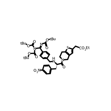 CCOC(=O)Cc1cc2c(s1)CCN(C(=O)[C@H](Cc1ccc([N+](=O)[O-])cc1)NCc1ccc(C(=NC(=O)OC(C)(C)C)N(C(=O)OC(C)(C)C)C(=O)OC(C)(C)C)cc1)C2